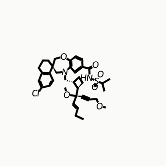 CC/C=C/[C@](C#CCOC)(OC)[C@@H]1CC[C@H]1CN1C[C@@]2(CCCc3cc(Cl)ccc32)COc2ccc(C(=O)NS(=O)(=O)C(C)C)cc21